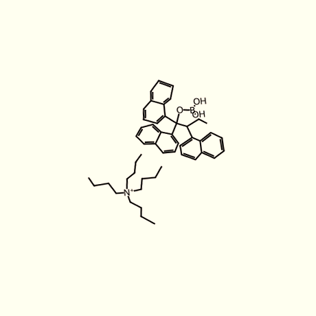 CCC(c1cccc2ccccc12)C(OB(O)O)(c1cccc2ccccc12)c1cccc2ccccc12.CCCC[N+](CCCC)(CCCC)CCCC